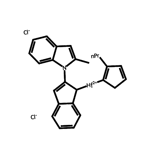 CCCC1=[C]([Hf+2][CH]2C(n3c(C)cc4ccccc43)=Cc3ccccc32)CC=C1.[Cl-].[Cl-]